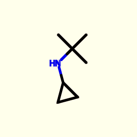 CC(C)(C)NC1CC1